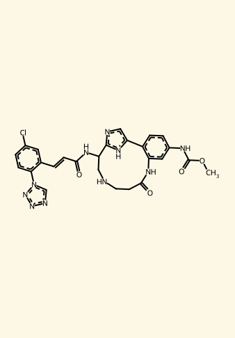 COC(=O)Nc1ccc2c(c1)NC(=O)CCNCC(NC(=O)C=Cc1cc(Cl)ccc1-n1cnnn1)c1ncc-2[nH]1